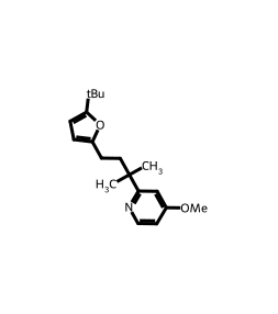 COc1ccnc(C(C)(C)CCc2ccc(C(C)(C)C)o2)c1